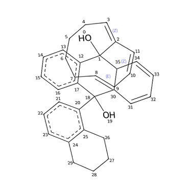 OC1(C2=C\CCCC/C=C/C=C\2)c2ccccc2C(O)(c2cccc3c2CCCC3)C2C=CC=CC21